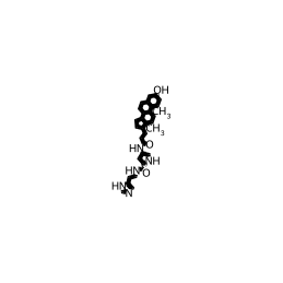 C[C@]12CC[C@@H](O)CC1CCC1C2CC[C@]2(C)C(CCC(=O)N[C@@H]3CN[C@H](C(=O)NCCc4cnc[nH]4)C3)CCC12